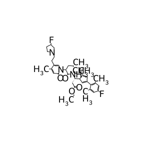 CCOC(=O)C[C@H](NC(=O)C(CC(C)C)n1cc(CCN2CC[C@@H](F)C2)c(C)cc1=O)C1C=C(c2c(C)cc(F)cc2C)C=C1C